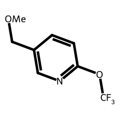 COCc1ccc(OC(F)(F)F)nc1